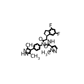 Cc1n[nH]c(C)c1-c1ccc(NC(=O)[C@@H](NC(=O)c2ccnn2C)[C@H]2CCc3c(F)cc(F)cc32)cc1